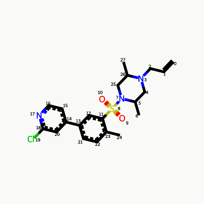 C=CCN1CC(C)N(S(=O)(=O)c2cc(-c3ccnc(Cl)c3)ccc2C)CC1C